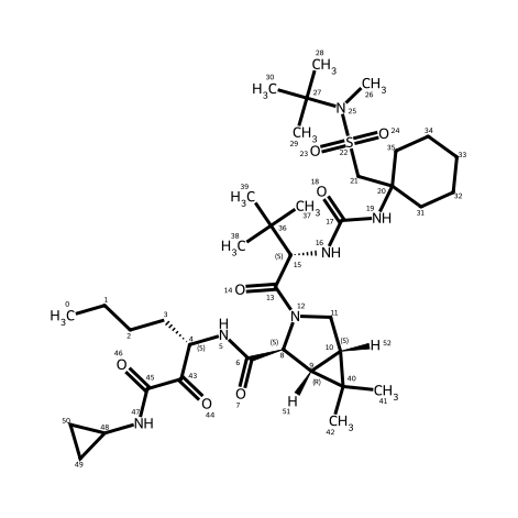 CCCC[C@H](NC(=O)[C@@H]1[C@@H]2[C@H](CN1C(=O)[C@@H](NC(=O)NC1(CS(=O)(=O)N(C)C(C)(C)C)CCCCC1)C(C)(C)C)C2(C)C)C(=O)C(=O)NC1CC1